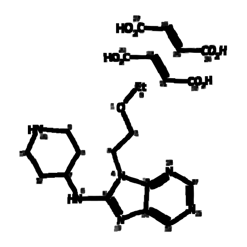 CCOCCn1c(NC2CCNCC2)nc2cncnc21.O=C(O)C=CC(=O)O.O=C(O)C=CC(=O)O